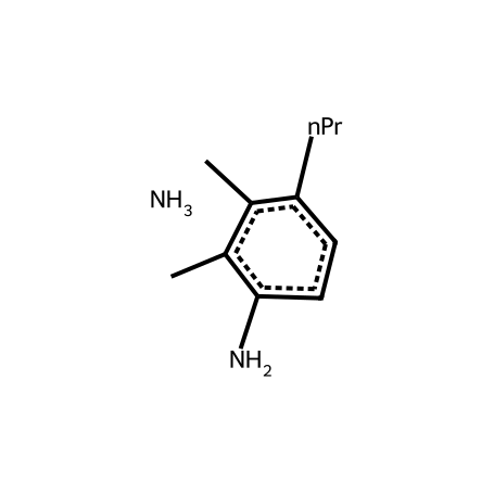 CCCc1ccc(N)c(C)c1C.N